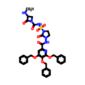 O=C(O)NC1CN(C(=O)NS(=O)(=O)N2CCN(NC(=O)c3cc(OCc4ccccc4)c(OCc4ccccc4)c(OCc4ccccc4)n3)C2=O)C1=O